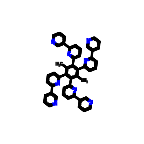 Cc1c(-c2cccc(-c3cccnc3)n2)c(-c2cccc(-c3cccnc3)n2)c(C)c(-c2cccc(-c3cccnc3)n2)c1-c1cccc(-c2cccnc2)n1